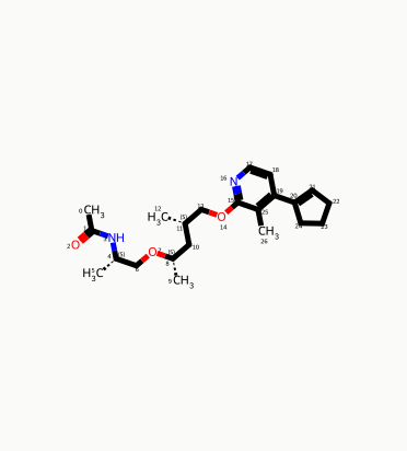 CC(=O)N[C@@H](C)CO[C@@H](C)C[C@H](C)COc1nccc(C2=CCCC2)c1C